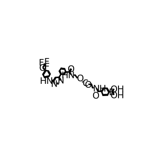 O=C(NCCOCCOCCNC(=O)c1cccc(-c2cc(Nc3ccc(OC(F)(F)F)cc3)ncn2)c1)c1ccc(B(O)O)cc1